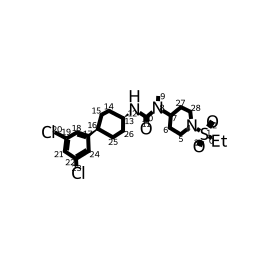 CCS(=O)(=O)N1CCC(N(C)C(=O)N[C@H]2CC[C@H](c3cc(Cl)cc(Cl)c3)CC2)CC1